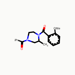 COc1ccccc1C(=O)N1CCN(C(=O)C(C)C)CC1C